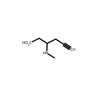 C#CCC(CC(=O)O)NI